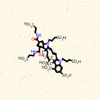 CC1(C)C(/C=C/C=C2/N(CCCS(=O)(=O)O)c3cc(C(=O)NCCS(=O)(=O)O)cc(C(=O)NCCS(=O)(=O)O)c3C2(C)CCCS(=O)(=O)O)=[N+](CCCS(=O)(=O)O)c2cc(S(=O)(=O)O)cc(C(=O)O)c21